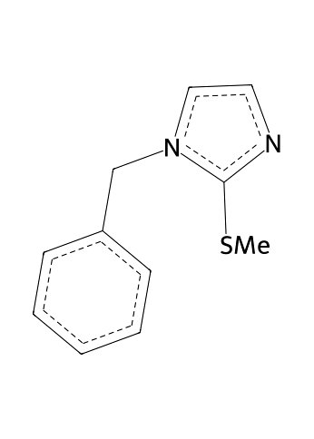 [CH2]Sc1nccn1Cc1ccccc1